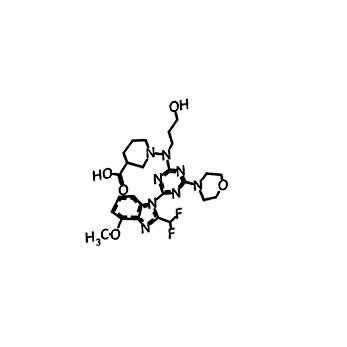 COc1cccc2c1nc(C(F)F)n2-c1nc(N2CCOCC2)nc(N(CCCO)N2CCCC(C(=O)O)C2)n1